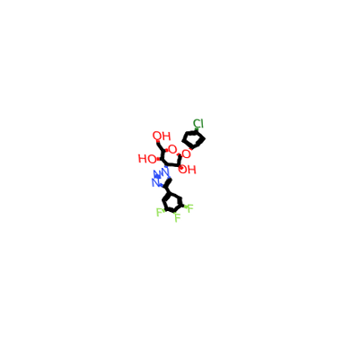 OCC1OC(Oc2ccc(Cl)cc2)C(O)C(n2cc(-c3cc(F)c(F)c(F)c3)nn2)C1O